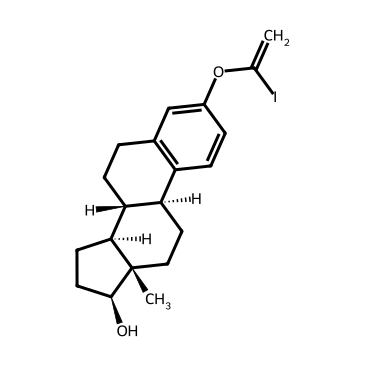 C=C(I)Oc1ccc2c(c1)CC[C@@H]1[C@@H]2CC[C@]2(C)[C@@H](O)CC[C@@H]12